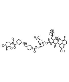 C#Cc1c(F)ccc2cc(O)cc(-c3ncc4c(N5CC6CCC(C5)N6)nc(OC[C@@]56CC[C@@H](COC(=O)N7CCC(CNc8ccc9c(c8)C(=O)N(C8CCC(=O)NC8=O)C9=O)CC7)N5CC(=C)C6)nc4c3F)c12